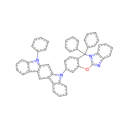 c1ccc(-n2c3ccccc3c3cc4c5ccccc5n(-c5ccc6c(c5)Oc5nc7ccccc7n5C6(c5ccccc5)c5ccccc5)c4cc32)cc1